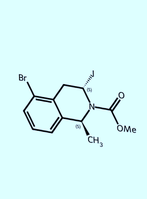 COC(=O)N1[C@@H](I)Cc2c(Br)cccc2[C@@H]1C